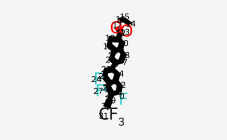 Fc1cc2cc(-c3ccc4cc(C5OCCCO5)ccc4c3)cc(F)c2c(F)c1C#CC(F)(F)F